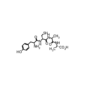 C[C@H](NC(=O)[C@H](C)NC(=O)[C@H](CS)NC(=O)[C@@H](N)Cc1ccc(O)cc1)C(=O)O